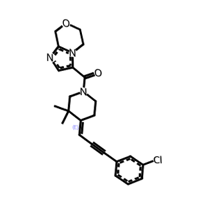 CC1(C)CN(C(=O)c2cnc3n2CCOC3)CC/C1=C\C#Cc1cccc(Cl)c1